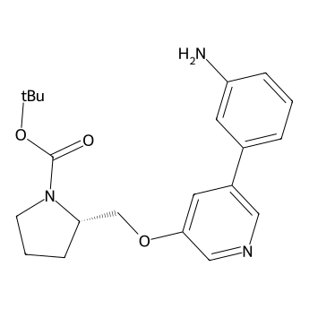 CC(C)(C)OC(=O)N1CCC[C@H]1COc1cncc(-c2cccc(N)c2)c1